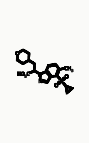 Cc1ccc2c(cnn2C(CC2CCOCC2)C(=O)O)c1S(=O)(=O)C1CC1